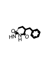 N=[S@]1(=O)CCC(Cc2ccccc2)C(=O)N1